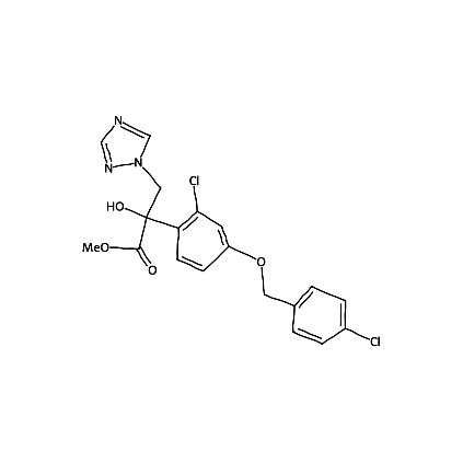 COC(=O)C(O)(Cn1cncn1)c1ccc(OCc2ccc(Cl)cc2)cc1Cl